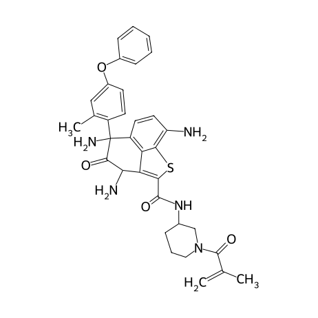 C=C(C)C(=O)N1CCCC(NC(=O)c2sc3c(N)ccc4c3c2C(N)C(=O)C4(N)c2ccc(Oc3ccccc3)cc2C)C1